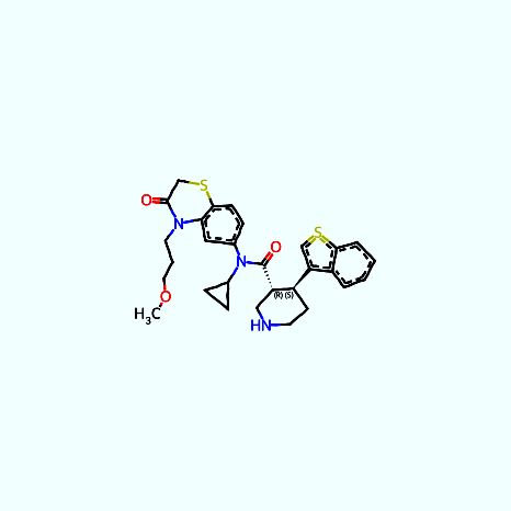 COCCCN1C(=O)CSc2ccc(N(C(=O)[C@H]3CNCC[C@@H]3c3csc4ccccc34)C3CC3)cc21